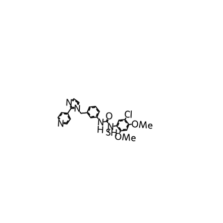 COc1cc(OC)c(N(S)C(=O)Nc2cccc(Cn3ccnc3-c3ccncc3)c2)cc1Cl